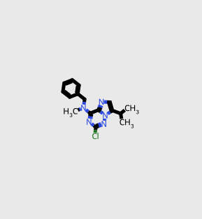 CC(C)c1cnc2c(N(C)Cc3ccccc3)nc(Cl)nn12